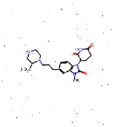 Cn1c(=O)n(C2CCC(=O)NC2=O)c2ccc(CCCN3CCNC[C@@H]3C(=O)O)cc21